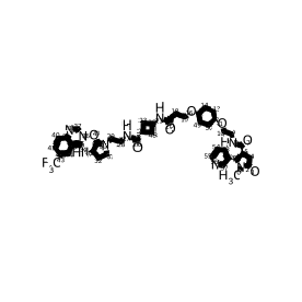 CN1C(=O)C[C@H](C(=O)NCCO[C@H]2CC[C@H](OCCC(=O)N[C@H]3C[C@@H](C(=O)NCCN4CC[C@H](Nc5ncnc6ccc(C(F)(F)F)cc56)C4=O)C3)CC2)[C@H]1c1cccnc1